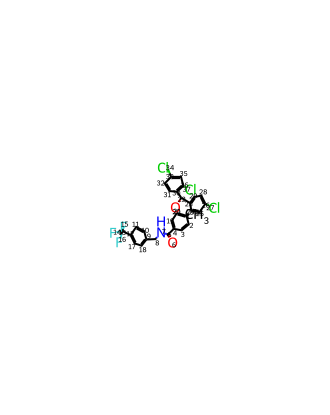 Cc1ccc(C(=O)NCc2ccc(C(F)(F)F)cc2)cc1OC(c1ccc(Cl)cc1)c1ccc(Cl)cc1Cl